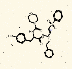 O=C(N[C@H](/C=C/S(=O)(=O)c1ccccc1)CCc1ccccc1)C(Cc1ccc(O)cc1)NC(=O)N1CCOCC1